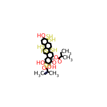 C/C=C(/C)C(=O)O[C@H]1[C@H](O)[C@]2(COC(=O)C(C)CC)CC[C@]3(S)C(=CCC4[C@@]5(S)CC[C@H](O)C(S)(S)C5CC[C@]43S)C2C[C@]1(O)S